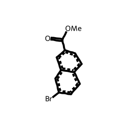 COC(=O)c1ccc2ccc(Br)cc2c1